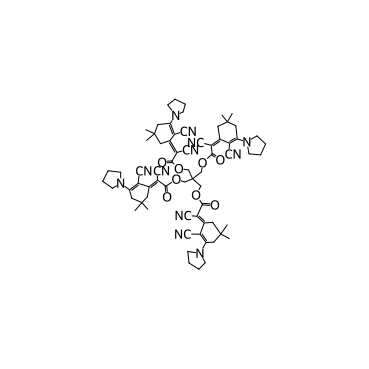 CC1(C)CC(N2CCCC2)=C(C#N)/C(=C(/C#N)C(=O)OCC(COC(=O)/C(C#N)=C2\CC(C)(C)CC(N3CCCC3)=C2C#N)(COC(=O)/C(C#N)=C2\CC(C)(C)CC(N3CCCC3)=C2C#N)COC(=O)/C(C#N)=C2\CC(C)(C)CC(N3CCCC3)=C2C#N)C1